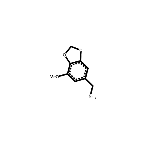 COc1cc(CN)cc2c1OCO2